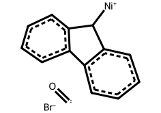 [Br-].[C]=O.[Ni+][CH]1c2ccccc2-c2ccccc21